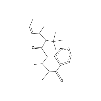 C/C=C\C(C)C(C(=O)CC(C)C(C)C(=O)c1ccccc1)C(C)(C)C